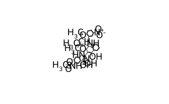 COc1ccc([N+](=O)[O-])cc1CNC1(CCC(C)(C)C)C(=O)C(C2=NS(O)(O)c3cc(NS(C)(=O)=O)ccc3N2)=C(O)c2ccccc21